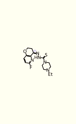 CCN1CCN(C(=S)N/N=C2/CCOc3ccc(F)nc32)CC1